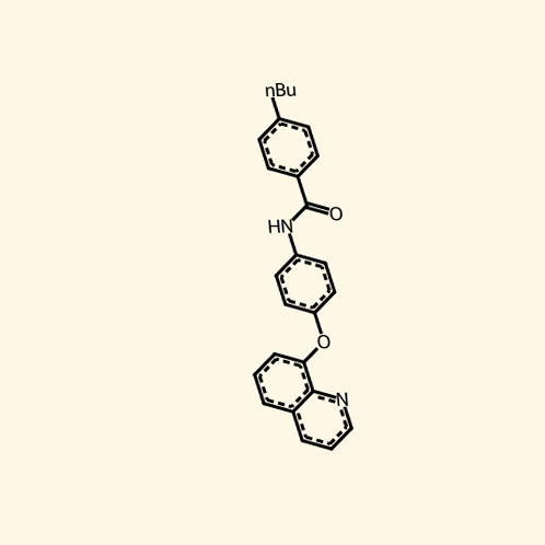 CCCCc1ccc(C(=O)Nc2ccc(Oc3cccc4cccnc34)cc2)cc1